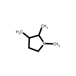 CC1CCN(C)C1C